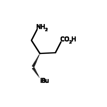 CC[C@@H](C)C[C@H](CN)CC(=O)O